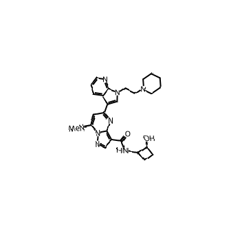 CNc1cc(-c2cn(CCN3CCCCC3)c3ncccc23)nc2c(C(=O)NC3CC[C@@H]3O)cnn12